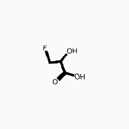 O=C(O)C(O)CF